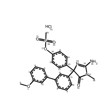 COc1cccc(-c2cccc(C3(c4ccc(OS(C)(=O)=O)cc4)N=C(N)N(C)C3=O)c2)c1.Cl